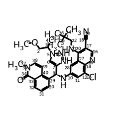 COCC(C)N1C=C([C@@H](Nc2cc(Cl)c3ncc(C#N)c(NCC(C)(C)C)c3c2)c2cccc3c(=O)n(C)ccc23)NN1